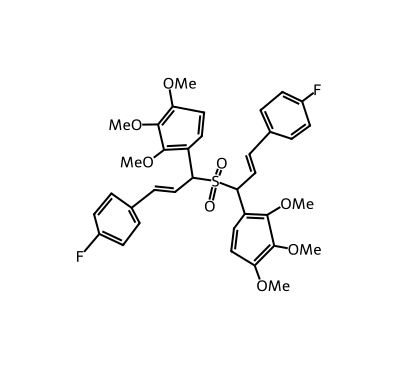 COc1ccc(C(C=Cc2ccc(F)cc2)S(=O)(=O)C(C=Cc2ccc(F)cc2)c2ccc(OC)c(OC)c2OC)c(OC)c1OC